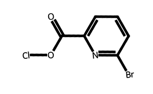 O=C(OCl)c1cccc(Br)n1